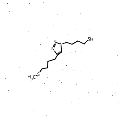 CSCCCCc1cn(CCCCS)nn1